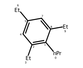 [CH2]CCc1c(CC)cc(CC)cc1CC